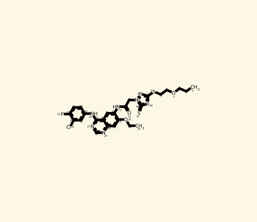 CCCOCCSc1nn(CC(=O)Nc2cc3c(Nc4ccc(F)c(Cl)c4)ncnc3cc2OCC)c(=S)s1